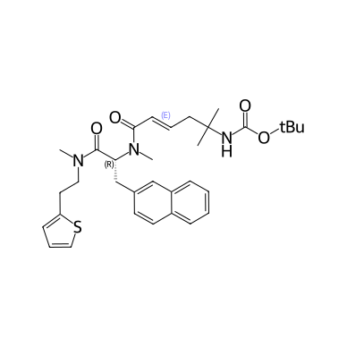 CN(CCc1cccs1)C(=O)[C@@H](Cc1ccc2ccccc2c1)N(C)C(=O)/C=C/CC(C)(C)NC(=O)OC(C)(C)C